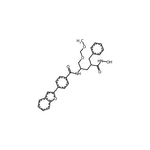 COCOCC(CC(Cc1ccccc1)C(=O)NO)NC(=O)c1ccc(-c2cc3ccccc3o2)cc1